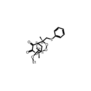 CCO[C@]1(C)CC[C@@]23C[C@]1(OO[C@@]2(C)CSc1ccccc1)OC(=O)C3=O